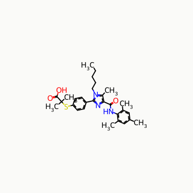 CCCCCn1c(-c2ccc(SC(C)(C)C(=O)O)cc2)nc(C(=O)Nc2c(C)cc(C)cc2C)c1C